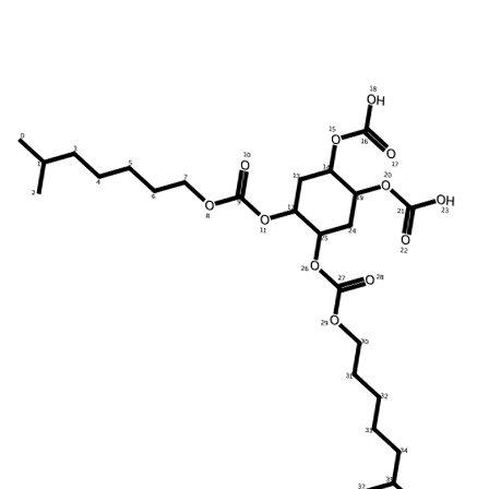 CC(C)CCCCCOC(=O)OC1CC(OC(=O)O)C(OC(=O)O)CC1OC(=O)OCCCCCC(C)C